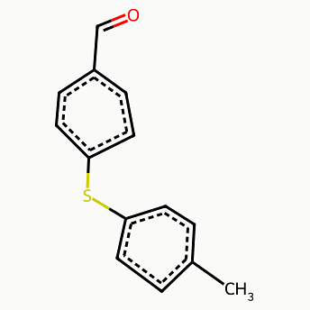 Cc1ccc(Sc2ccc(C=O)cc2)cc1